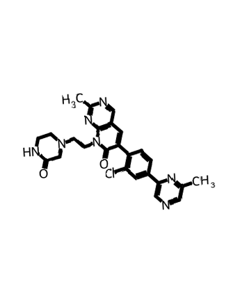 Cc1cncc(-c2ccc(-c3cc4cnc(C)nc4n(CCN4CCNC(=O)C4)c3=O)c(Cl)c2)n1